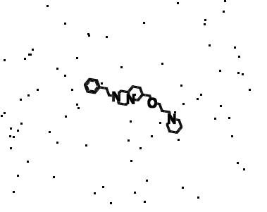 c1ccc(CCN2CCN3CC(COCCCN4CCCCC4)CCC3C2)cc1